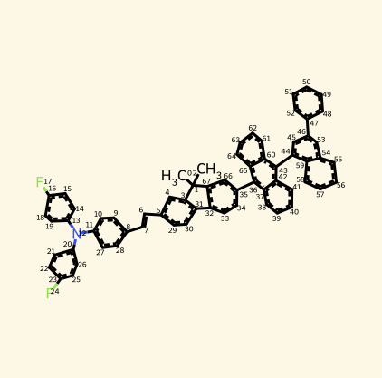 CC1(C)c2cc(/C=C/c3ccc(N(c4ccc(F)cc4)c4ccc(F)cc4)cc3)ccc2-c2ccc(-c3c4ccccc4c(-c4cc(-c5ccccc5)cc5ccccc45)c4ccccc34)cc21